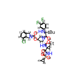 CC[C@@H]1C[C@]1(NC(=O)[C@@H]1C[C@@H](OC(=O)N2Cc3cccc(Cl)c3C2)CN1C(=O)[C@@H](Nc1ccc(F)c(F)c1)C(C)(C)C)C(=O)NS(=O)(=O)C1CC1